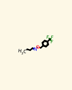 CCCC=NOCc1ccc(C(F)(F)F)cc1